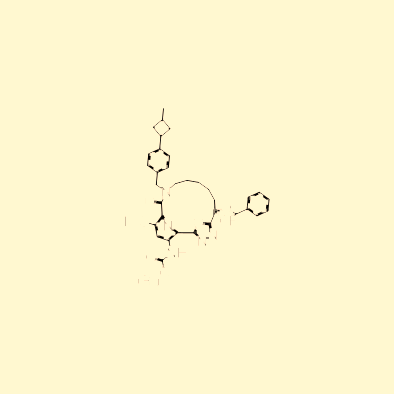 CC1CC(c2ccc(CN3CCCCC[C@](OCc4ccccc4)(C(F)(F)F)c4nnc(o4)-c4nc(c(C(F)(F)F)cc4NC(=O)OC(C)(C)C)C3=O)cc2)C1